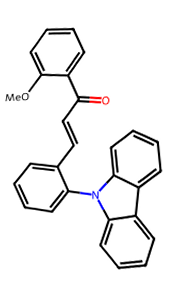 COc1ccccc1C(=O)/C=C/c1ccccc1-n1c2ccccc2c2ccccc21